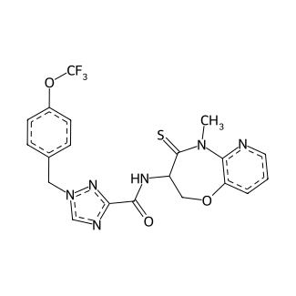 CN1C(=S)C(NC(=O)c2ncn(Cc3ccc(OC(F)(F)F)cc3)n2)COc2cccnc21